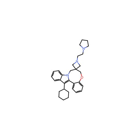 c1ccc2c(c1)OCC1(CN(CCN3CCCC3)C1)Cn1c-2c(C2CCCCC2)c2ccccc21